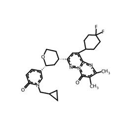 Cc1nc2c(C3CCC(F)(F)CC3)cc([C@H]3CCO[C@@H](c4ccc(=O)n(CC5CC5)c4)C3)nn2c(=O)c1C